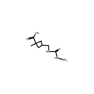 CC1(C(=O)O)CC(CNC(=O)NN)C1